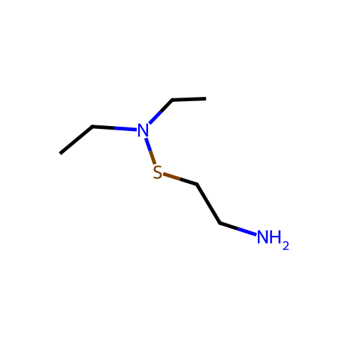 CCN(CC)SCCN